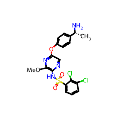 COc1nc(Oc2ccc([C@@H](C)N)cc2)cnc1NS(=O)(=O)c1cccc(Cl)c1Cl